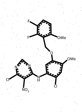 COc1cc(Cl)c(Nc2ncnc(Cl)c2[N+](=O)[O-])cc1OCc1c(OC)ccc(F)c1F